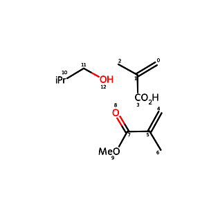 C=C(C)C(=O)O.C=C(C)C(=O)OC.CC(C)CO